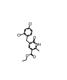 CCOC(=O)c1cc(Cc2ccc(Cl)cc2Cl)c(=O)[nH]c1C